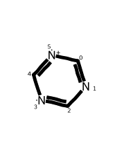 C1=NC=[N+]C=[N+]1